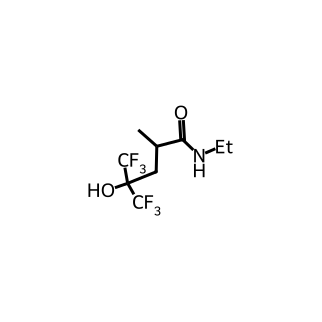 CCNC(=O)C(C)CC(O)(C(F)(F)F)C(F)(F)F